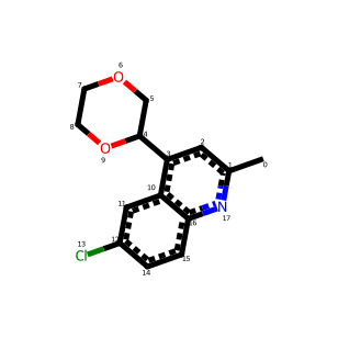 Cc1cc(C2COCCO2)c2cc(Cl)ccc2n1